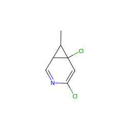 CC1C2C=NC(Cl)=CC12Cl